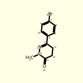 CN1N=C(c2ccc(Br)cc2)CCC1=O